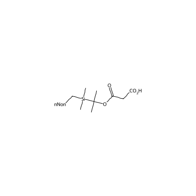 CCCCCCCCCC[Si](C)(C)C(C)(C)OC(=O)CC(=O)O